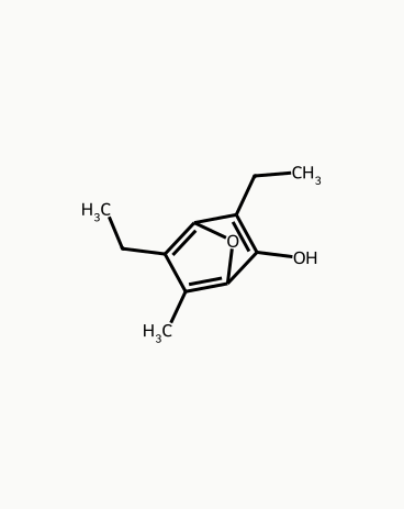 CCc1c(C)c2oc1c(CC)c2O